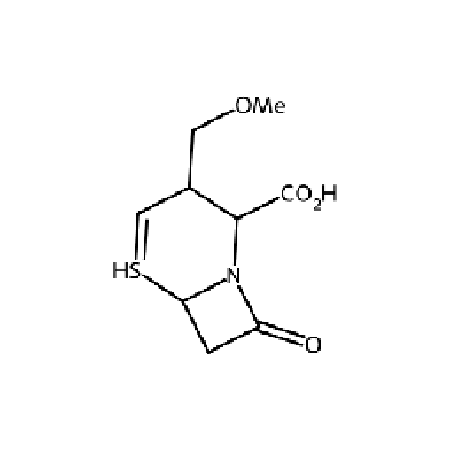 COCC1C=[SH]C2CC(=O)N2C1C(=O)O